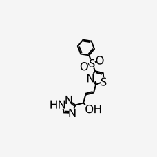 O=S(=O)(c1ccccc1)c1csc(C=CC(O)c2nc[nH]n2)n1